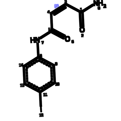 NC(=O)/C=C\C(=O)Nc1ccc(I)cc1